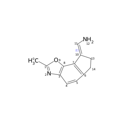 Cc1nc2ccc3c(c2o1)/C(=C/N)CC3